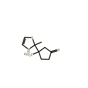 CCOC(=O)C1(C2(C)NC=CS2)CCC(=O)C1